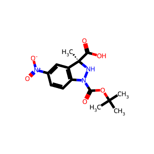 CC(C)(C)OC(=O)N1N[C@](C)(C(=O)O)c2cc([N+](=O)[O-])ccc21